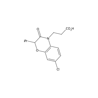 CC(C)C1Oc2cc(Cl)ccc2N(CCC(=O)O)C1=O